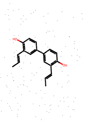 CC=Cc1cc(-c2ccc(O)c(C=CC)c2)ccc1O